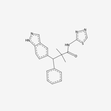 CC(C)(C(=O)Nc1nncs1)C(c1ccccc1)c1ccc2[nH]ncc2c1